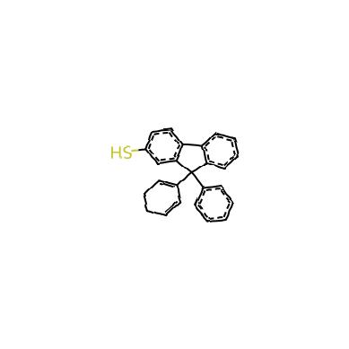 Sc1ccc2c(c1)C(C1=CCCC=C1)(c1ccccc1)c1ccccc1-2